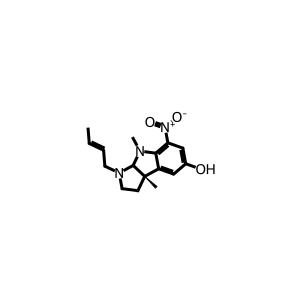 CC=CCN1CC[C@@]2(C)c3cc(O)cc([N+](=O)[O-])c3N(C)C12